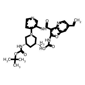 C=Cc1cnc2c(C(=O)Nc3cnccc3N3C[C@H](C)C[C@H](NC(=O)OC(C)(C)C)C3)c(NC(=O)O)oc2c1